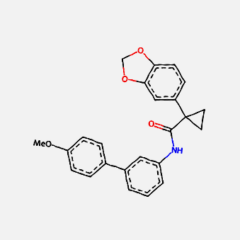 COc1ccc(-c2cccc(NC(=O)C3(c4ccc5c(c4)OCO5)CC3)c2)cc1